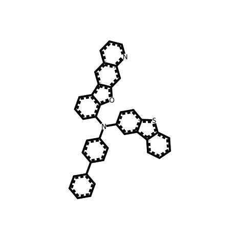 c1ccc(-c2ccc(N(c3ccc4sc5ccccc5c4c3)c3cccc4c3oc3cc5ncccc5cc34)cc2)cc1